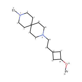 CCN1CCC2(CC1)CCN(CCC1CC(OC(C)C)C1)CC2